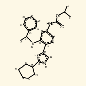 CC(C)OC(=O)Nc1ccc(-c2cnc(C3CCCCC3)s2)c(SC(C)c2ccccc2)c1